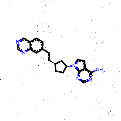 Nc1ncnc2c1ccn2[C@H]1CC[C@@H](CCc2ccc3cncnc3c2)C1